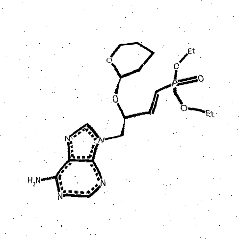 CCOP(=O)(/C=C/[C@@H](Cn1cnc2c(N)ncnc21)O[C@@H]1CCCCO1)OCC